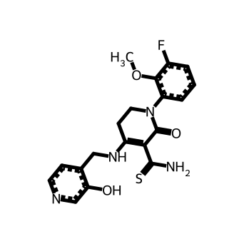 COc1c(F)cccc1N1CCC(NCc2ccncc2O)=C(C(N)=S)C1=O